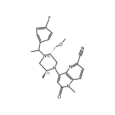 COC[C@@H]1CN(c2cc(=O)n(C)c3ccc(C#N)nc23)[C@@H](C)CN1C(C)c1ccc(F)cc1